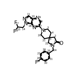 O=C1CC2(CCN(c3cnc4cnn(CC(F)F)c4n3)CC2)CN1Cc1ccc(F)cc1